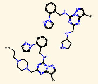 CC(C)c1cnn2c(NCc3ccccc3-n3cccn3)nc(CNC3CCNC3)nc12.COCCN1CCN(Cc2nc(NCc3ccccc3-n3cccn3)n3ncc(C(C)C)c3n2)CC1